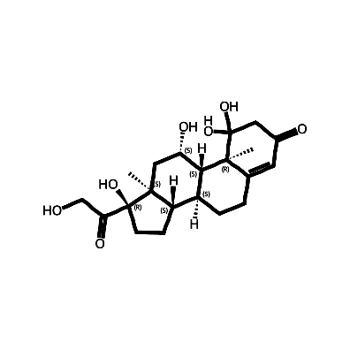 C[C@@]12C(=CC(=O)CC1(O)O)CC[C@@H]1[C@@H]2[C@@H](O)C[C@@]2(C)[C@H]1CC[C@]2(O)C(=O)CO